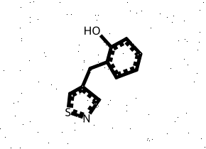 Oc1ccccc1Cc1cnsc1